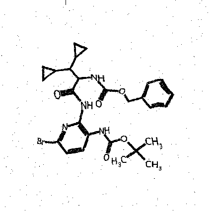 CC(C)(C)OC(=O)Nc1ccc(Br)nc1NC(=O)C(NC(=O)OCc1ccccc1)C(C1CC1)C1CC1